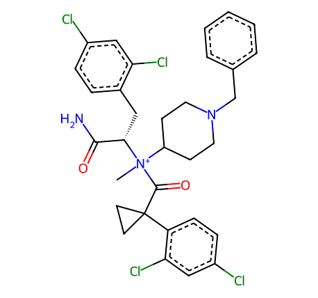 C[N+](C(=O)C1(c2ccc(Cl)cc2Cl)CC1)(C1CCN(Cc2ccccc2)CC1)[C@@H](Cc1ccc(Cl)cc1Cl)C(N)=O